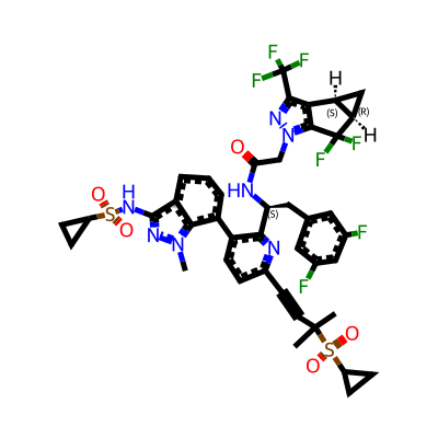 Cn1nc(NS(=O)(=O)C2CC2)c2cccc(-c3ccc(C#CC(C)(C)S(=O)(=O)C4CC4)nc3[C@H](Cc3cc(F)cc(F)c3)NC(=O)Cn3nc(C(F)(F)F)c4c3C(F)(F)[C@@H]3C[C@H]43)c21